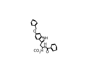 O=C(NC(Cc1c[nH]c2cc(OCc3ccccc3)ccc12)C(=O)O)c1ccccc1